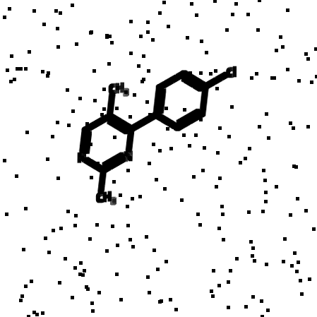 Cc1ncc(C)c(-c2ccc(Cl)cc2)n1